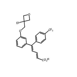 CCC1(COc2cccc(C(=CC=CC(=O)O)c3ccc(C(F)(F)F)cc3)c2)COC1